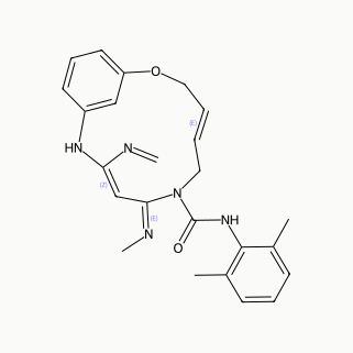 C=N/C1=C\C(=N/C)N(C(=O)Nc2c(C)cccc2C)C/C=C/COc2cccc(c2)N1